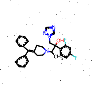 CC(N1CCC(=C(c2ccccc2)c2ccccc2)CC1)C(O)(Cn1cncn1)c1ccc(F)cc1F